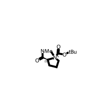 CNC(=O)[C@@H]1CCC[N+]1(C)C(=O)OC(C)(C)C